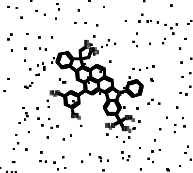 CCC1(CC)c2ccccc2-c2cc3c(-c4cc(C)cc(C)c4)cc4c5c(ccc(c21)c35)cc1c4c2ccc(C(C)(C)C)cc2n1-c1ccccc1